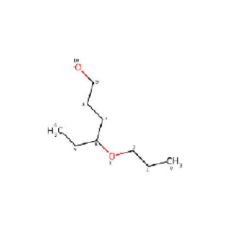 CCCOC(CC)CCC[O]